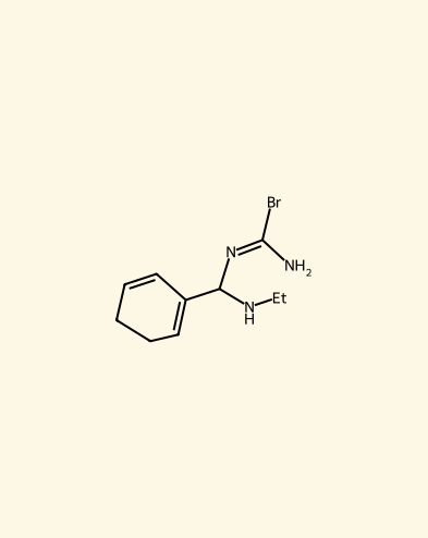 CCNC(/N=C(\N)Br)C1=CCCC=C1